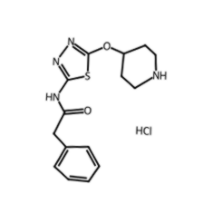 Cl.O=C(Cc1ccccc1)Nc1nnc(OC2CCNCC2)s1